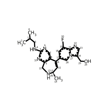 CC(C)CNc1ncc2c(n1)CN[C@H](C)C=C2c1cc(F)c2ncc(CO)n2c1